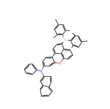 Cc1cc(C)c(B(c2c(C)cc(C)cc2C)c2ccc3c4c(cccc24)Oc2cc(N(c4ccccc4)c4ccc5ccccc5c4)ccc2-3)c(C)c1